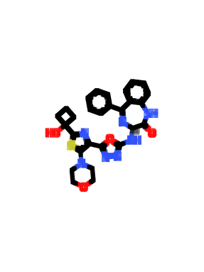 O=C1Nc2ccccc2C(c2ccccc2)=N[C@@H]1Nc1nnc(-c2nc(C3(O)CCC3)sc2N2CCOCC2)o1